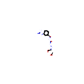 N=C(N)Nc1cccc(C(=O)NC(=O)NN[C@@H](CC(=O)O)C(=O)O)c1